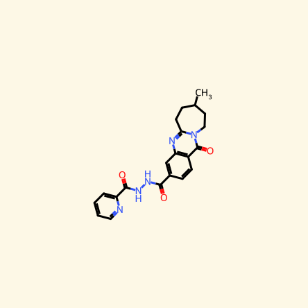 CC1CCc2nc3cc(C(=O)NNC(=O)c4ccccn4)ccc3c(=O)n2CC1